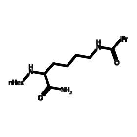 CCCCCCNC(CCCCNC(=O)C(C)C)C(N)=O